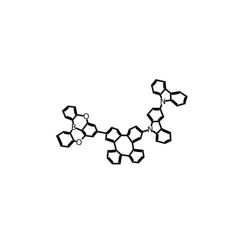 c1ccc2c(c1)Oc1cc(-c3ccc4c(c3)-c3ccccc3-c3ccccc3-c3cc(-n5c6ccccc6c6cc(-n7c8ccccc8c8ccccc87)ccc65)ccc3-4)cc3c1B2c1ccccc1O3